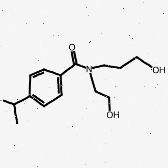 CC(C)c1ccc(C(=O)N(CCO)CCCO)cc1